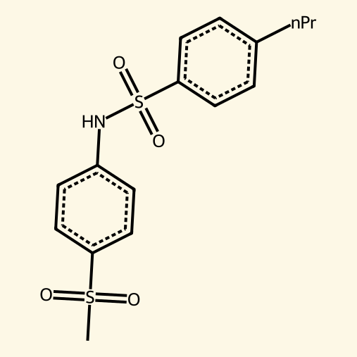 CCCc1ccc(S(=O)(=O)Nc2ccc(S(C)(=O)=O)cc2)cc1